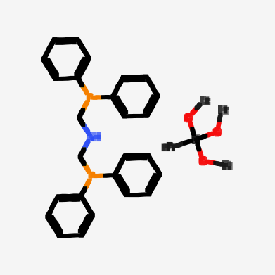 CCC[Si](OCC)(OCC)OCC.c1ccc(P(CNCP(c2ccccc2)c2ccccc2)c2ccccc2)cc1